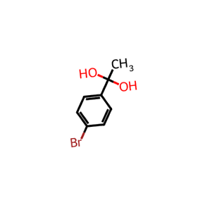 CC(O)(O)c1ccc(Br)cc1